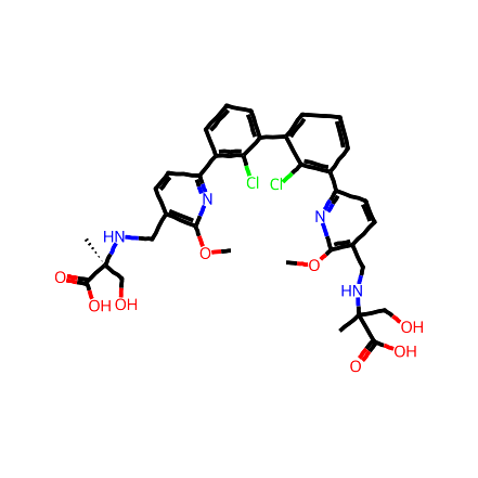 COc1nc(-c2cccc(-c3cccc(-c4ccc(CN[C@@](C)(CO)C(=O)O)c(OC)n4)c3Cl)c2Cl)ccc1CNC(C)(CO)C(=O)O